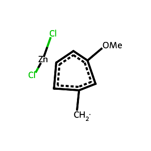 [CH2]c1cccc(OC)c1.[Cl][Zn][Cl]